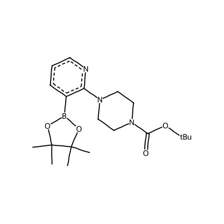 CC(C)(C)OC(=O)N1CCN(c2ncccc2B2OC(C)(C)C(C)(C)O2)CC1